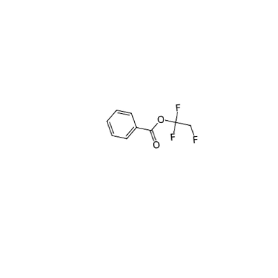 O=C(OC(F)(F)CF)c1ccccc1